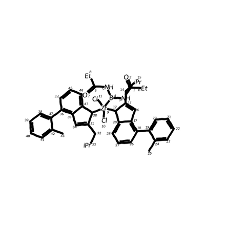 CCC(=O)N[B](NC(=O)CC)[Zr]([Cl])([Cl])([CH]1C(CC(C)C)=Cc2c(-c3ccccc3C)cccc21)[CH]1C(CC(C)C)=Cc2c(-c3ccccc3C)cccc21